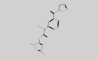 Cc1cc(NC(=O)C(C)c2cccc(C(=O)C3CC=CS3)c2)n(C)n1